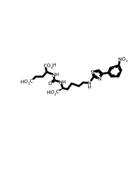 O=C(O)CCC(NC(=O)N[C@@H](CCCCNc1nc(-c2cccc([N+](=O)[O-])c2)cs1)C(=O)O)C(=O)O